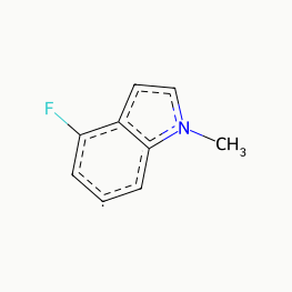 Cn1ccc2c(F)c[c]cc21